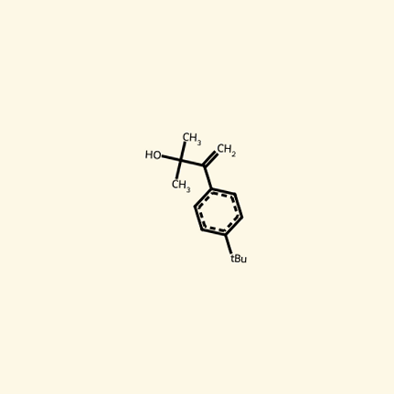 C=C(c1ccc(C(C)(C)C)cc1)C(C)(C)O